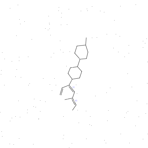 C=C/C(=C\C(C)=C\C)C1CCC(C2CCC(C)CC2)CC1